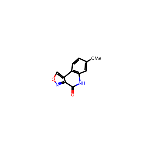 COc1ccc2c(c1)[nH]c(=O)c1nocc12